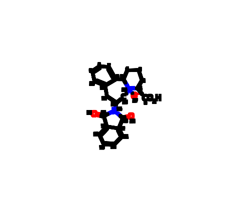 O=C(O)C1CCCC2c3ccccc3CC(N3C(=O)c4ccccc4C3=O)C[N+]12[O-]